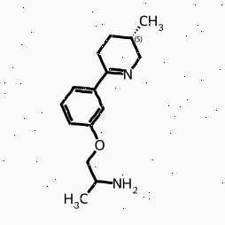 CC(N)COc1cccc(C2=NC[C@@H](C)CC2)c1